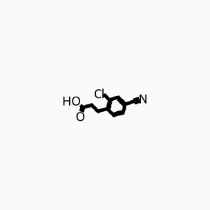 N#Cc1ccc(CCC(=O)O)c(Cl)c1